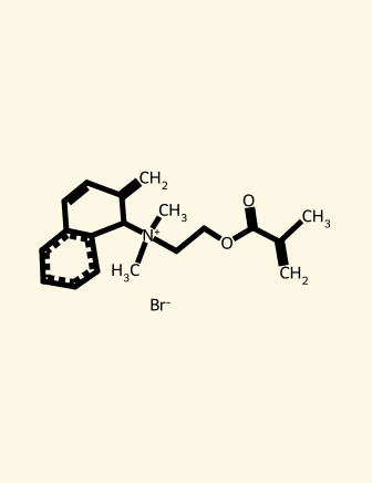 C=C(C)C(=O)OCC[N+](C)(C)C1C(=C)C=Cc2ccccc21.[Br-]